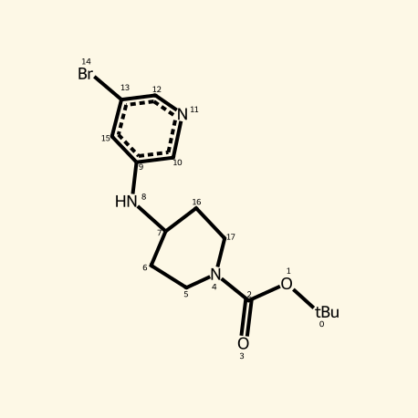 CC(C)(C)OC(=O)N1CCC(Nc2cncc(Br)c2)CC1